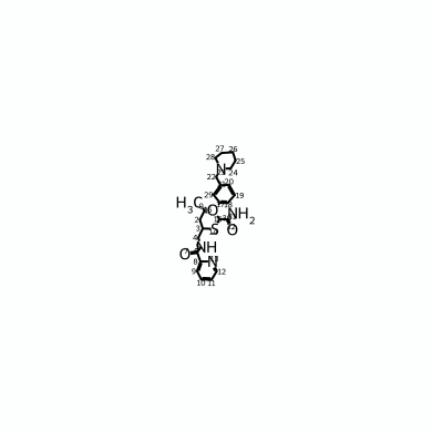 CCCC(CNC(=O)c1ccccn1)SC(Oc1cccc(CN2CCCCC2)c1)C(N)=O